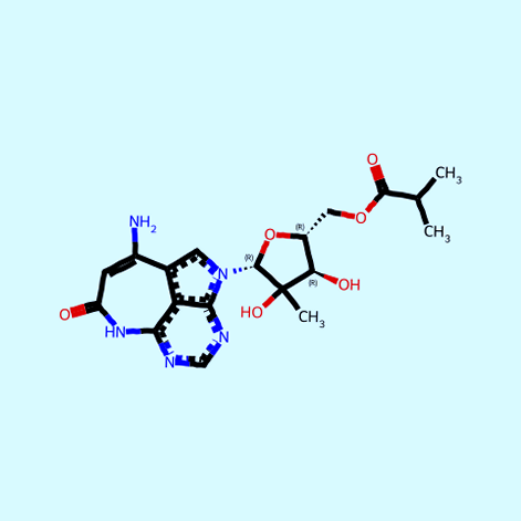 CC(C)C(=O)OC[C@H]1O[C@@H](n2cc3c4c(ncnc42)NC(=O)C=C3N)C(C)(O)[C@@H]1O